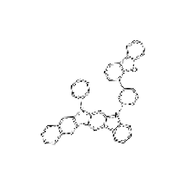 c1ccc(-n2c3cc4ccccc4cc3c3cc4c5ccccc5n(-c5cccc(-c6cccc7c6oc6ccccc67)c5)c4cc32)cc1